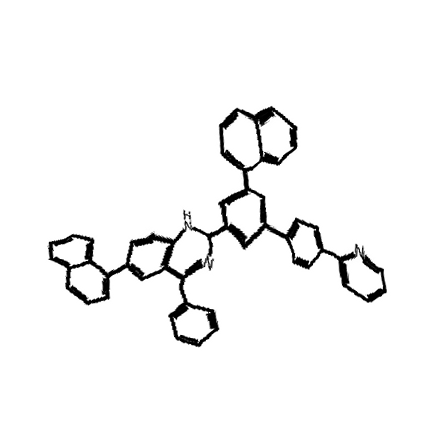 c1ccc(C2=NC(c3cc(-c4ccc(-c5ccccn5)cc4)cc(-c4cccc5ccccc45)c3)Nc3ccc(-c4cccc5ccccc45)cc32)cc1